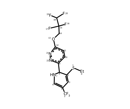 CCSC1=CC(C(F)(F)F)=CNC1c1ccc(OCC(F)(F)C(F)F)nn1